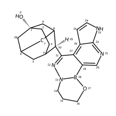 O[C@@]12CCC3CC(CC(C1)[C@H]3C1=NN3CCCOB3c3cnc4[nH]ccc4c31)C2